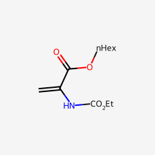 C=C(NC(=O)OCC)C(=O)OCCCCCC